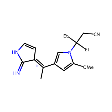 CCC(CC)(CC#N)n1cc(/C(C)=C2\C=CNC2=N)cc1OC